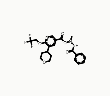 CN(NC(=O)c1ccccc1)OC(=O)c1cnc(OCC(F)(F)F)c(C2CCOCC2)c1